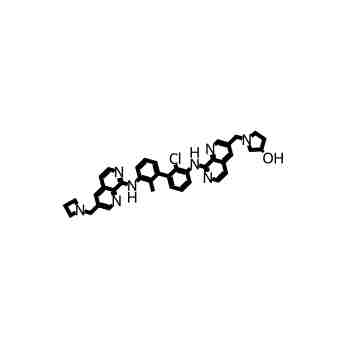 Cc1c(Nc2nccc3cc(CN4CCC4)cnc23)cccc1-c1cccc(Nc2nccc3cc(CN4CC[C@@H](O)C4)cnc23)c1Cl